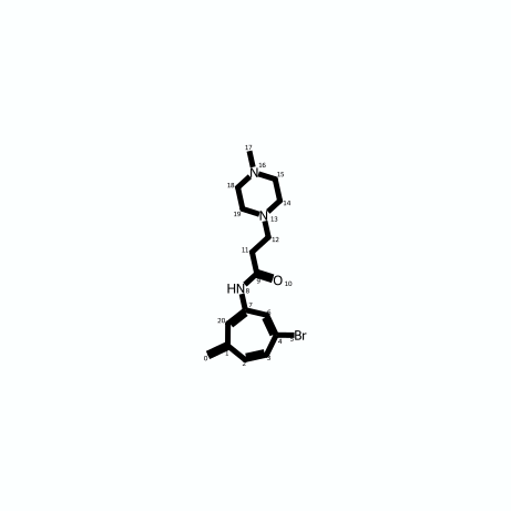 C=C1C=CC(Br)=CC(NC(=O)CCN2CCN(C)CC2)=C1